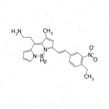 CCc1ccc(/C=C/C2=[N+]3[BH-](F)n4cccc4C(CCN)=C3C(C)=C2)cc1[N+](=O)[O-]